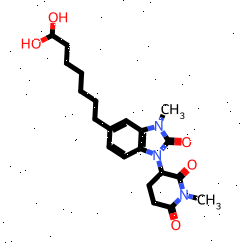 CN1C(=O)CCC(n2c(=O)n(C)c3cc(CCCCCCC(O)O)ccc32)C1=O